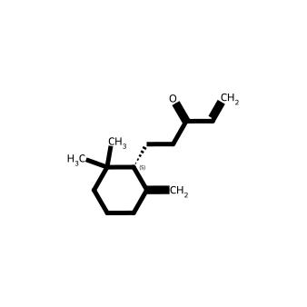 C=CC(=O)CC[C@@H]1C(=C)CCCC1(C)C